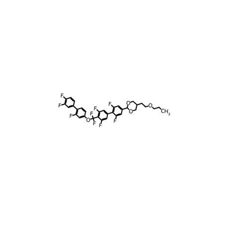 CCCOCCC1COC(c2cc(F)c(-c3cc(F)c(C(F)(F)Oc4ccc(-c5ccc(F)c(F)c5)c(F)c4)c(F)c3)c(F)c2)OC1